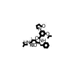 CC(C)CNC(=O)[C@H](C)C[C@H](O)[C@H](Cc1ccccc1)NC(=O)c1cc(OC(C)C)cc(N2CCCC2=O)c1